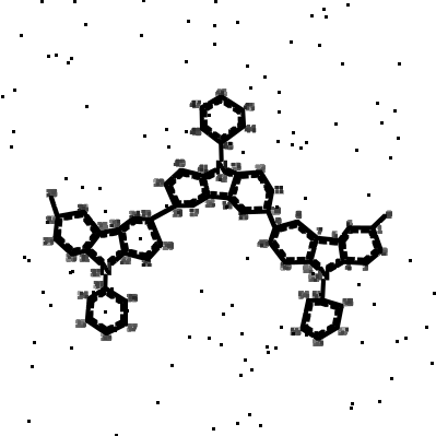 Cc1ccc2c(c1)c1cc(-c3ccc4c(c3)c3cc(-c5ccc6c(c5)c5cc(C)ccc5n6-c5ccccc5)ccc3n4-c3ccccc3)ccc1n2-c1ccccc1